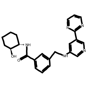 O=C(N[C@H]1CCCC[C@@H]1O)c1cccc(CNc2cncc(-c3ncccn3)c2)c1